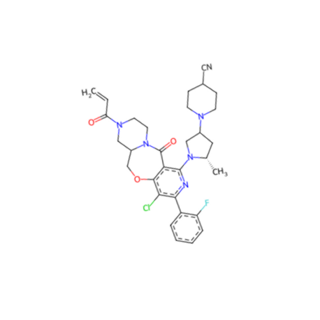 C=CC(=O)N1CCN2C(=O)c3c(N4CC(N5CCC(C#N)CC5)C[C@@H]4C)nc(-c4ccccc4F)c(Cl)c3OCC2C1